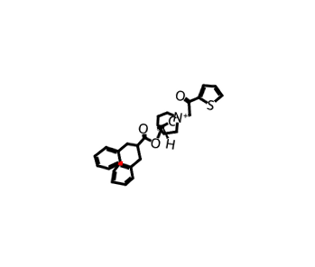 O=C(C[N+]12CCC(CC1)[C@@H](OC(=O)C(Cc1ccccc1)Cc1ccccc1)C2)c1cccs1